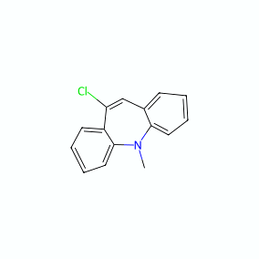 CN1c2ccccc2C=C(Cl)c2ccccc21